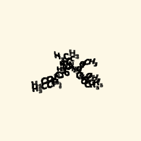 COCO[C@H]1CN(C(=O)OC(C)(C)C)CC[C@@H]1CNc1cc(NC(=O)C2CCN(C(=O)OC(C)(C)C)CC2)n2ncc(C(C)C)c2n1